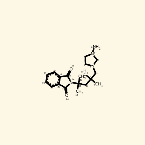 CC(C)(CN1CCN(N)C1)CC(C)(C)N1C(=O)c2ccccc2C1=O